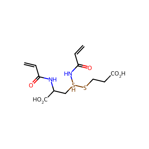 C=CC(=O)NC(C[SH](NC(=O)C=C)SCCC(=O)O)C(=O)O